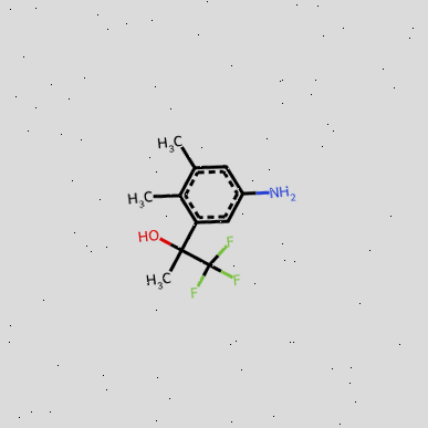 Cc1cc(N)cc(C(C)(O)C(F)(F)F)c1C